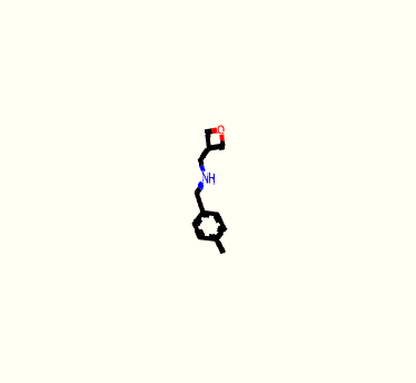 Cc1ccc(CNCC2COC2)cc1